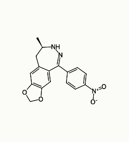 C[C@@H]1Cc2cc3c(cc2C(c2ccc([N+](=O)[O-])cc2)=NN1)OCO3